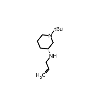 C=CCN[C@@H]1CCCN(C(C)(C)C)C1